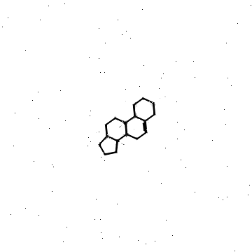 CC(=O)[C@H]1CC[C@H]2[C@@H]3CC=C4C[C@@H](O)C[C@@H](F)[C@]4(C)[C@H]3CC[C@]12C